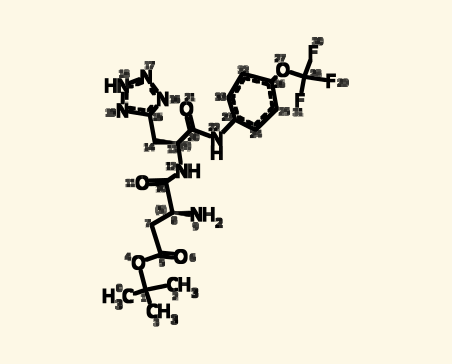 CC(C)(C)OC(=O)C[C@H](N)C(=O)N[C@@H](Cc1nn[nH]n1)C(=O)Nc1ccc(OC(F)(F)F)cc1